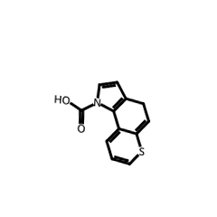 O=C(O)n1ccc2c1C1=CC=CSC1=CC2